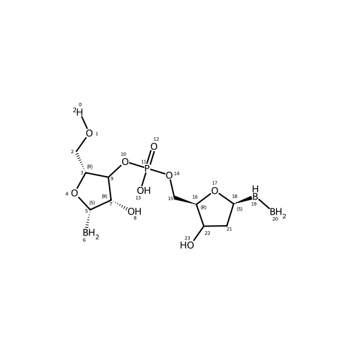 [2H]OC[C@H]1O[C@@H](B)[C@@H](O)C1OP(=O)(O)OC[C@H]1O[C@@H](BB)CC1O